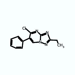 CCc1nc2nc(Cl)c(-c3ccccc3)cn2n1